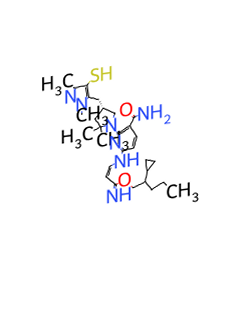 CCCC(COC(=N)/C=C\Nc1ccc(C(N)=O)c(N2C[C@@H](Cc3c(S)c(C)nn3C)CC2(C)C)n1)C1CC1